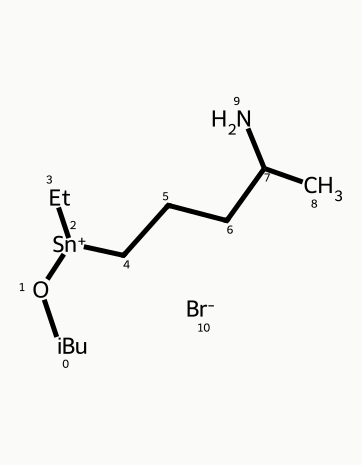 CCC(C)[O][Sn+]([CH2]C)[CH2]CCC(C)N.[Br-]